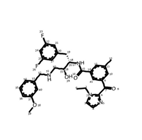 CCn1ccnc1C(=O)c1cc(C)cc(C(=O)N[C@@H](Cc2cc(F)cc(F)c2)[C@@H](O)CNCc2cccc(OC)c2)c1